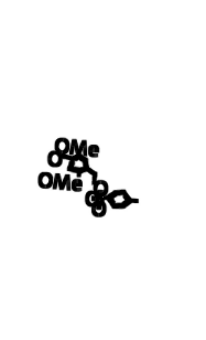 COC(=O)c1ccc(CCOS(=O)(=O)c2ccc(C)cc2)c(OC)c1